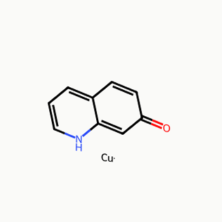 O=c1ccc2ccc[nH]c-2c1.[Cu]